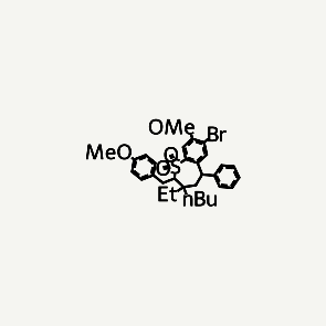 CCCCC1(CC)CC(c2ccccc2)c2cc(Br)c(OC)cc2S(=O)(=O)C1Cc1ccc(OC)cc1